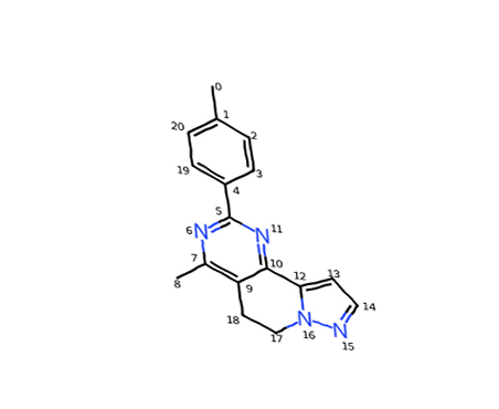 Cc1ccc(-c2nc(C)c3c(n2)-c2ccnn2CC3)cc1